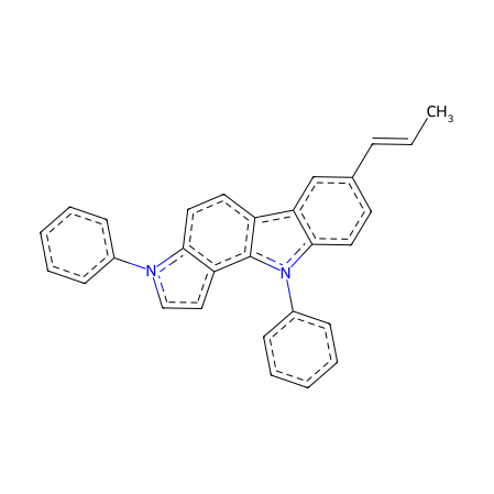 C/C=C/c1ccc2c(c1)c1ccc3c(ccn3-c3ccccc3)c1n2-c1ccccc1